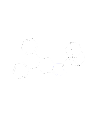 c1ccc(C2Cc3nnc(C45CC6CC(CC(C6)C4)C5)n3CC2c2ccccc2)cc1